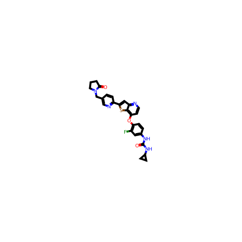 O=C(Nc1ccc(Oc2ccnc3cc(-c4ccc(CN5CCCC5=O)cn4)sc23)c(F)c1)NC1CC1